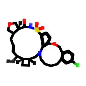 CO[C@H]1/C=C/CC2COC[C@H]2C(=O)NS(=O)(=O)c2ccc3c(c2)N(CCCCc2cc(Cl)ccc2CO3)C[C@@H]2CC[C@H]21